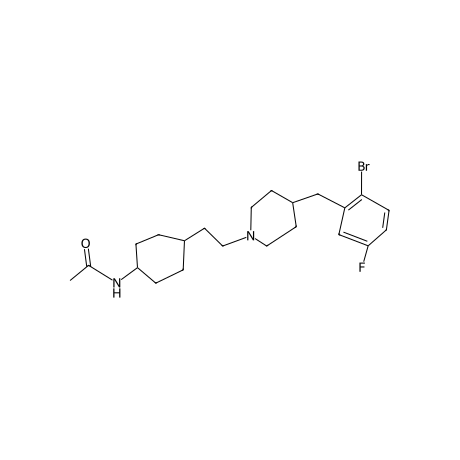 CC(=O)NC1CCC(CCN2CCC(Cc3cc(F)ccc3Br)CC2)CC1